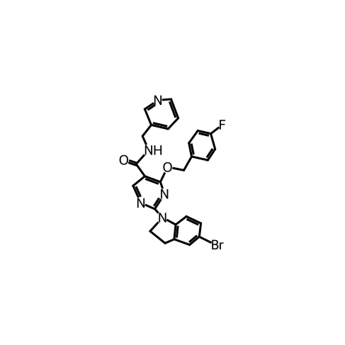 O=C(NCc1cccnc1)c1cnc(N2CCc3cc(Br)ccc32)nc1OCc1ccc(F)cc1